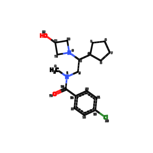 CN(CC(C1CCCC1)N1CC(O)C1)C(=O)c1ccc(Cl)cc1